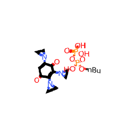 CCCCOP(=O)(O)OP(=O)(O)O.O=C1C=C(N2CC2)C(=O)C(N2CC2)=C1N1CC1